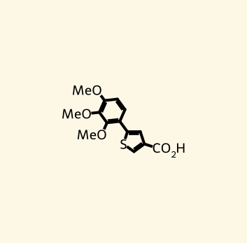 COc1ccc(-c2cc(C(=O)O)cs2)c(OC)c1OC